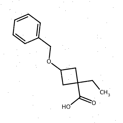 CCC1(C(=O)O)CC(OCc2ccccc2)C1